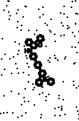 c1ccc(-n2c3ccccc3c3cc(-c4ccc(-c5ccc(Nc6cc7oc8ccccc8c7c7ccccc67)cc5)cc4)ccc32)cc1